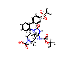 CC(C)S(=O)(=O)c1ccc(-c2ccccc2N2C(=O)N=C(NC(=O)OC(C)(C)C)[C@@]23CCN(C(=O)O)[C@H](C)C3)cc1